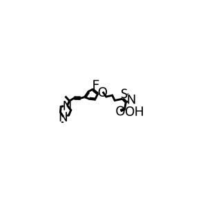 CC(C#Cc1ccc(OCCCc2scnc2C(=O)O)c(F)c1)N1CCN(C)CC1